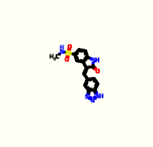 CNS(=O)(=O)c1ccc2c(c1)/C(=C/c1ccc3[nH]nnc3c1)C(=O)N2